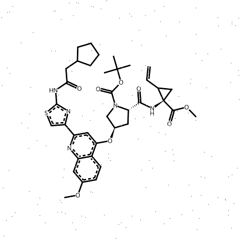 C=CC1C[C@]1(NC(=O)[C@@H]1C[C@@H](Oc2cc(-c3csc(NC(=O)CC4CCCC4)n3)nc3cc(OC)ccc23)CN1C(=O)OC(C)(C)C)C(=O)OC